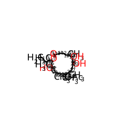 C=C/C=C\[C@H](C)[C@@H]1OC(=O)/C=C\C=C\[C@@H](C)[C@@H](O)C[C@H](O)/C=C\[C@H](C)[C@H](OC(C)=O)[C@@H](C)C[C@@H](C)CC[C@@H](O)[C@@H]1C